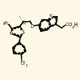 CC(C)c1nc(-c2ccc(C(F)(F)F)cc2)sc1[C@H](C)COc1ccc2c(CC(=O)O)csc2c1